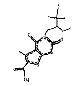 COC(Cn1c(=O)[nH]c2sc(C(=O)O)c(C)c2c1=O)C(F)(F)F